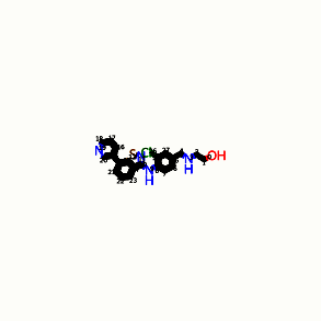 OCCNCc1ccc(Nc2nsc3c(-c4cccnc4)cccc23)c(Cl)c1